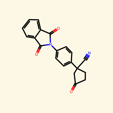 N#CC1(c2ccc(N3C(=O)c4ccccc4C3=O)cc2)CCC(=O)C1